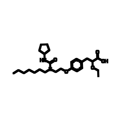 CCCCCCCN(CCOc1ccc(CC(OCC)C(=O)O)cc1)C(=O)NC1CCCC1